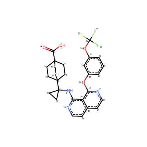 O=C(O)C12CCC(C3(Nc4nccc5ccnc(Oc6cccc(OC(F)(F)F)c6)c45)CC3)(CC1)CC2